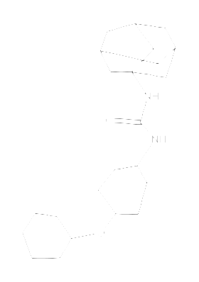 O=C(NC1CCC(OC2CCCCC2)CC1)NC12CC3CC(CC(C3)C1)C2